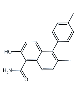 [CH2]c1ccc2c(C(N)=O)c(O)ccc2c1-c1ccc(C)cc1